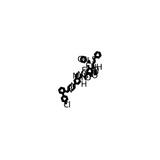 CS(=O)(=O)c1c(F)c(S(=O)(=O)Nc2ncnc3cc(N4CCN(Cc5ccccc5-c5ccc(Cl)cc5)CC4)ccc23)c(F)c(F)c1N[C@H](CCN1CCOCC1)CSc1ccccc1